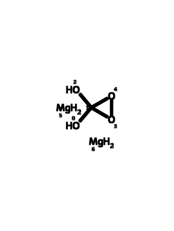 OC1(O)OO1.[MgH2].[MgH2]